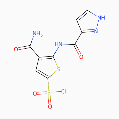 NC(=O)c1cc(S(=O)(=O)Cl)sc1NC(=O)c1cc[nH]n1